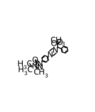 COC(=O)C(c1ccccc1)N1CCN(c2ccc(-n3nc(C)n(C(C)C)c3=O)cc2)CC1